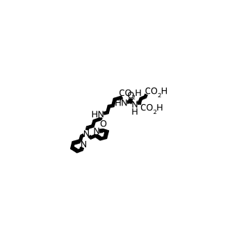 O=C(O)CC[C@H](NC(=O)N[C@@H](CCCCNC(=O)CCCN(Cc1ccccn1)Cc1ccccn1)C(=O)O)C(=O)O